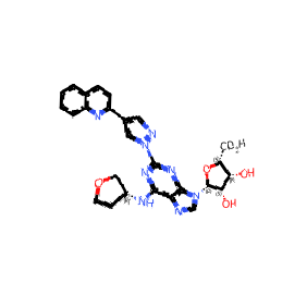 O=C(O)[C@H]1O[C@@H](n2cnc3c(N[C@@H]4CCOC4)nc(-n4cc(-c5ccc6ccccc6n5)cn4)nc32)[C@@H](O)[C@H]1O